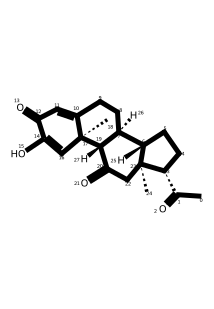 CC(=O)[C@H]1CC[C@H]2[C@@H]3CCC4=CC(=O)C(O)=C[C@]4(C)[C@H]3C(=O)C[C@]12C